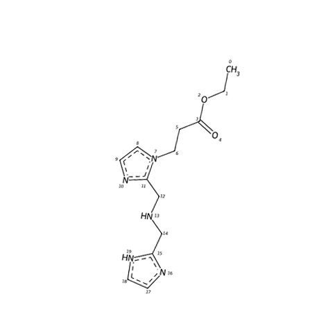 CCOC(=O)CCn1ccnc1CNCc1ncc[nH]1